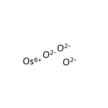 [O-2].[O-2].[O-2].[Os+6]